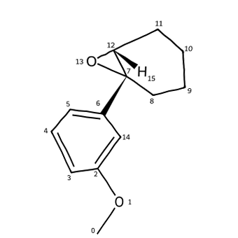 COc1cccc([C@]23CCCC[C@H]2O3)c1